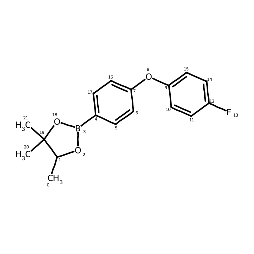 CC1OB(c2ccc(Oc3ccc(F)cc3)cc2)OC1(C)C